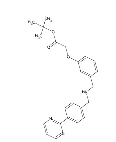 CC(C)(C)OC(=O)COc1cccc(CNCc2ccc(-c3ncccn3)cc2)c1